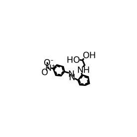 O=[N+]([O-])c1ccc(N=Nc2ccccc2NCC(O)O)cc1